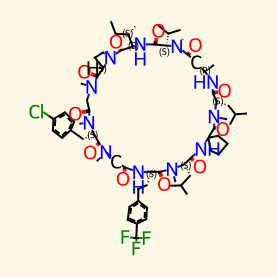 CC[C@H](C)[C@@H]1NC(=O)[C@H](C(C)C)N(C)C(=O)C[C@@H](C)NC(=O)[C@H](CC(C)C)N(C)C(=O)C2(CCCC2)NC(=O)[C@H](CC(C)C)N(C)C(=O)[C@H](CCc2ccc(C(F)(F)F)cc2)NC(=O)CN(C)C(=O)[C@H](Cc2ccc(Cl)cc2)N(C)C(=O)CN(C)C(=O)[C@@H]2CCN2C1=O